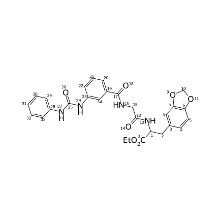 CCOC(=O)C(Cc1ccc2c(c1)OCO2)NC(=O)CNC(=O)c1cccc(NC(=O)Nc2ccccc2)c1